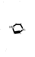 C1#CNCC[N]1